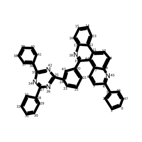 c1ccc(-c2ccc3c(ccc4c5ccccc5nc(-c5cccc(-c6nc(-c7ccccc7)nc(-c7ccccc7)n6)c5)c34)n2)cc1